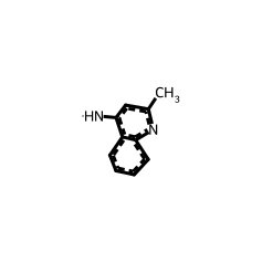 Cc1cc([NH])c2ccccc2n1